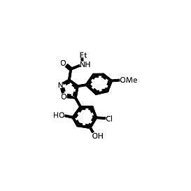 CCNC(=O)c1noc(-c2cc(Cl)c(O)cc2O)c1-c1ccc(OC)cc1